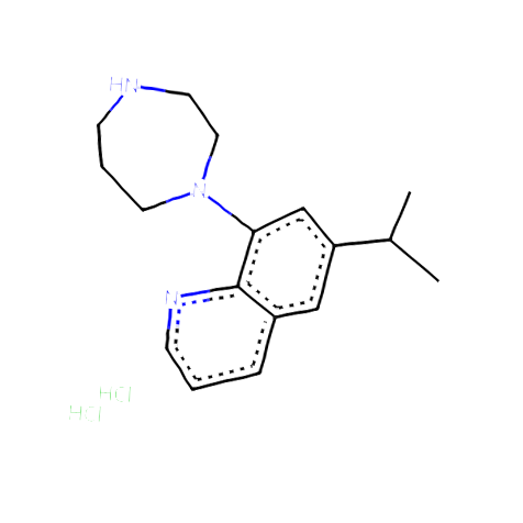 CC(C)c1cc(N2CCCNCC2)c2ncccc2c1.Cl.Cl